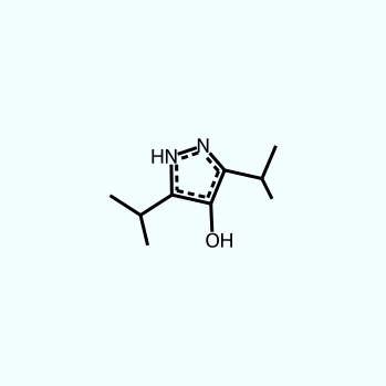 CC(C)c1n[nH]c(C(C)C)c1O